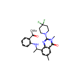 COC(=O)c1ccccc1NC(C)c1cc(C)cc2c(=O)n(C)c(N3CCC(F)(F)CC3)nc12